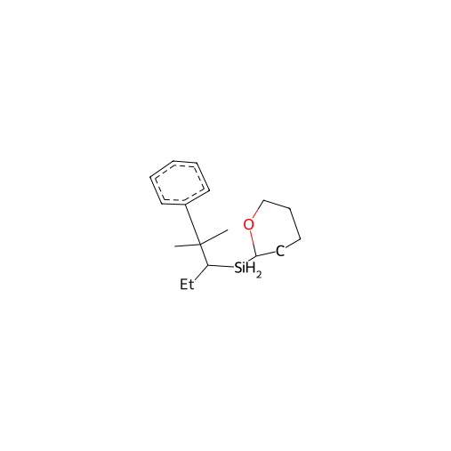 CCC([SiH2]C1CCCCO1)C(C)(C)c1ccccc1